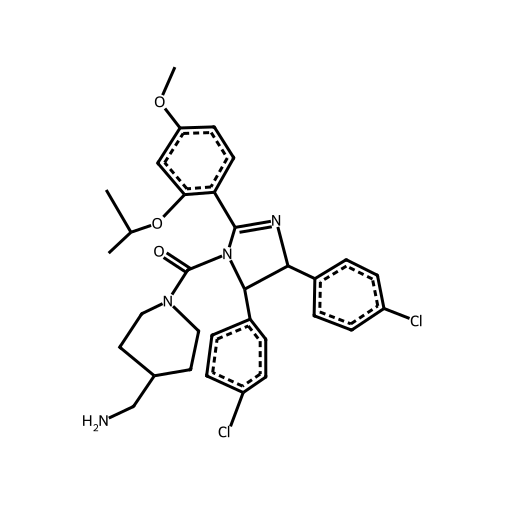 COc1ccc(C2=NC(c3ccc(Cl)cc3)C(c3ccc(Cl)cc3)N2C(=O)N2CCC(CN)CC2)c(OC(C)C)c1